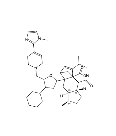 CC(C)C1=CC2CC3(C=O)[C@@H]4CC[C@@H](C)[C@H]4CC2(C2CC(C4CCCCC4)C(CN4CC=C(c5nccn5C)CC4)O2)C13C(=O)O